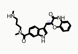 CNCCCN(C)C(=O)c1ccc2c(/C=C3\Oc4ccccc4NC3=O)c[nH]c2c1